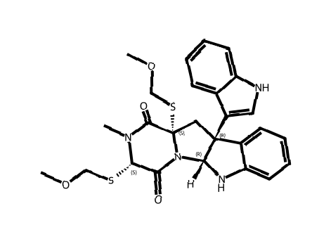 COCS[C@H]1C(=O)N2[C@H]3Nc4ccccc4[C@@]3(c3c[nH]c4ccccc34)C[C@]2(SCOC)C(=O)N1C